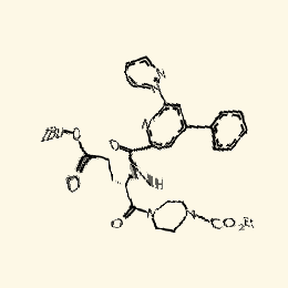 CCOC(=O)N1CCN(C(=O)[C@H](CCC(=O)OC(C)(C)C)NC(=O)c2cc(-c3ccccc3)cc(-n3cccn3)n2)CC1